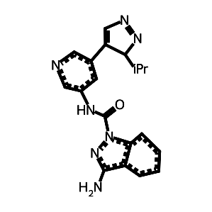 CC(C)C1N=NC=C1c1cncc(NC(=O)n2nc(N)c3ccccc32)c1